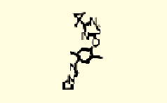 Cc1cc(Oc2nc(C3(C)CC3)ns2)c(C)cc1N=CN1CCC1